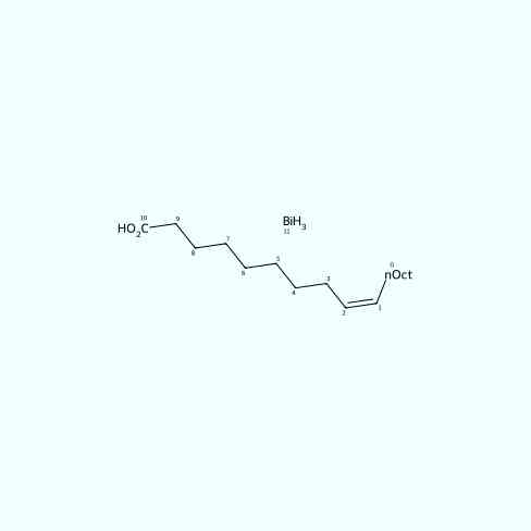 CCCCCCCC/C=C\CCCCCCCC(=O)O.[BiH3]